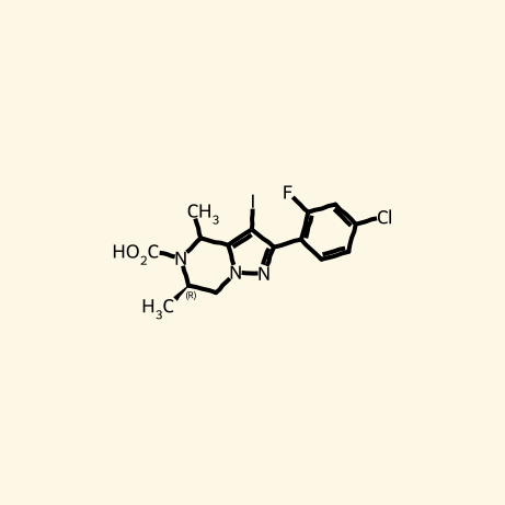 CC1c2c(I)c(-c3ccc(Cl)cc3F)nn2C[C@@H](C)N1C(=O)O